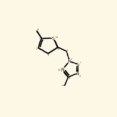 CC1=CCC(Cn2nnc(C)n2)S1